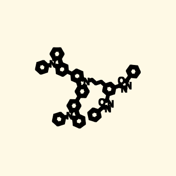 c1ccc(-c2nnc(-c3cc(CCCn4c5ccc(-c6ccc7c(c6)c6ccccc6n7-c6ccccc6)cc5c5cc(-c6ccc7c(c6)c6ccccc6n7-c6ccccc6)ccc54)cc(-c4nnc(-c5ccccc5)o4)c3)o2)cc1